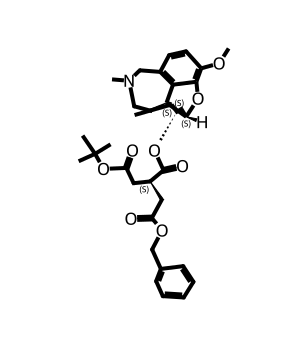 COc1ccc2c3c1O[C@H]1C[C@H](OC(=O)[C@@H](CC(=O)OCc4ccccc4)CC(=O)OC(C)(C)C)C(C)[C@@]31CCN(C)C2